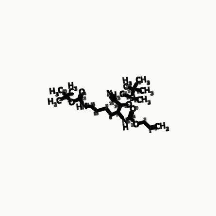 C=CCOC(=O)NC(CCCCNC(=O)OC(C)(C)C)C(C#N)O[Si](C)(C)C(C)(C)C